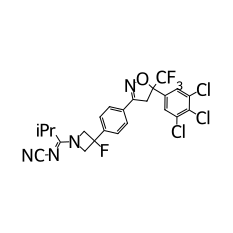 CC(C)/C(=N\C#N)N1CC(F)(c2ccc(C3=NOC(c4cc(Cl)c(Cl)c(Cl)c4)(C(F)(F)F)C3)cc2)C1